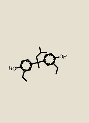 CCc1cc(C(C)(CC(C)C)c2ccc(O)c(CC)c2)ccc1O